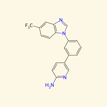 Nc1ccc(-c2cccc(-n3cnc4cc(C(F)(F)F)ccc43)c2)cn1